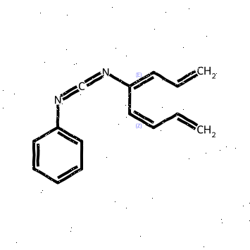 C=C/C=C\C(=C/C=C)N=C=Nc1ccccc1